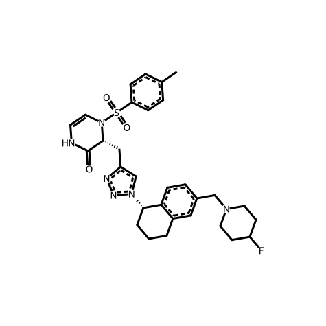 Cc1ccc(S(=O)(=O)N2C=CNC(=O)[C@H]2Cc2cn([C@H]3CCCc4cc(CN5CCC(F)CC5)ccc43)nn2)cc1